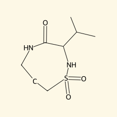 CC(C)C1NS(=O)(=O)CCCNC1=O